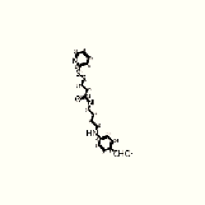 O=[C]c1ccc(NCCCCNC(=O)CCSSc2ccccn2)cc1